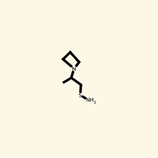 CC(CSN)N1CCC1